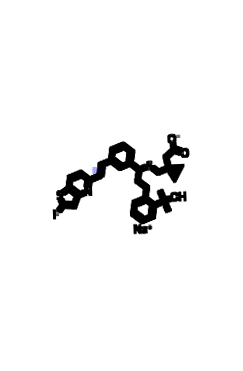 CC(C)(O)c1ccccc1CCC(SCC1(CC(=O)[O-])CC1)c1cccc(/C=C/c2ccc3sc(F)cc3n2)c1.[Na+]